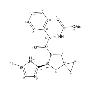 COC(=O)N[C@H](C(=O)N1CC2(CC2)C[C@H]1c1ncc(I)[nH]1)c1ccccc1